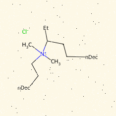 CCCCCCCCCCCCC(CC)[N+](C)(C)CCCCCCCCCCCC.[Cl-]